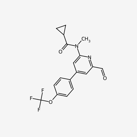 CN(C(=O)C1CC1)c1cc(-c2ccc(OC(F)(F)F)cc2)cc(C=O)n1